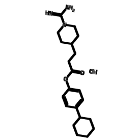 Cl.N=C(N)N1CCC(CCC(=O)Oc2ccc(C3CCCCC3)cc2)CC1